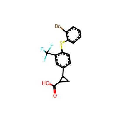 O=C(O)C1CC1c1ccc(Sc2ccccc2Br)c(C(F)(F)F)c1